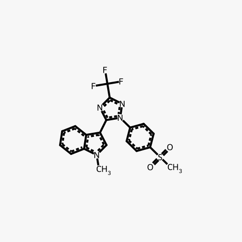 Cn1cc(-c2nc(C(F)(F)F)nn2-c2ccc(S(C)(=O)=O)cc2)c2ccccc21